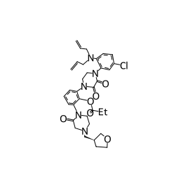 C=CCN(CC=C)c1ccc(Cl)cc1N1CCN(c2cccc(N3CCN(C[C@@H]4CCOC4)CC3=O)c2OC(=O)CC)C(=O)C1=O